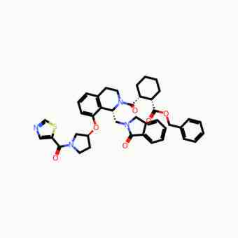 O=C(OCc1ccccc1)[C@H]1CCCC[C@H]1C(=O)N1CCc2cccc(O[C@H]3CCN(C(=O)c4cncs4)C3)c2[C@H]1CN1Cc2ccccc2C1=O